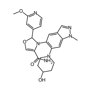 COc1cc(C2OC=C(C(N)=O)N2c2cc3cnn(C)c3cc2N2CCC(O)CC2)ccn1